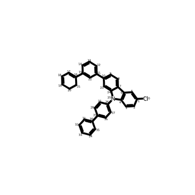 Clc1ccc2c(c1)c1ccc(-c3cccc(C4=CC=CCC4)c3)cc1n2-c1ccc(-c2ccccc2)cc1